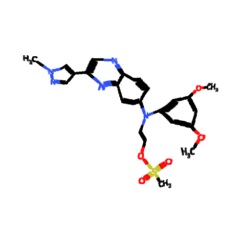 COc1cc(OC)cc(N(CCOS(C)(=O)=O)c2ccc3ncc(-c4cnn(C)c4)nc3c2)c1